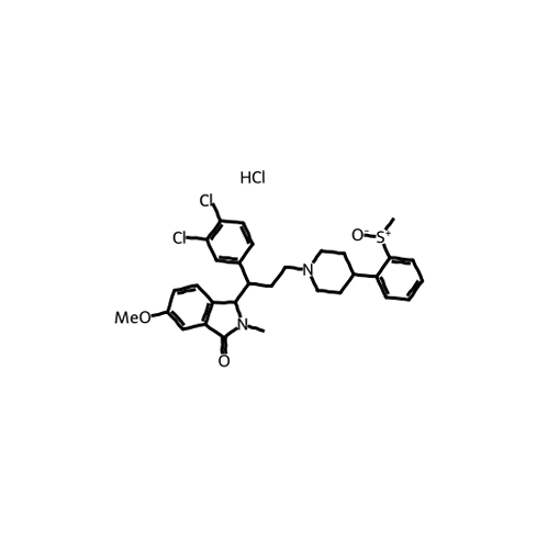 COc1ccc2c(c1)C(=O)N(C)C2C(CCN1CCC(c2ccccc2[S+](C)[O-])CC1)c1ccc(Cl)c(Cl)c1.Cl